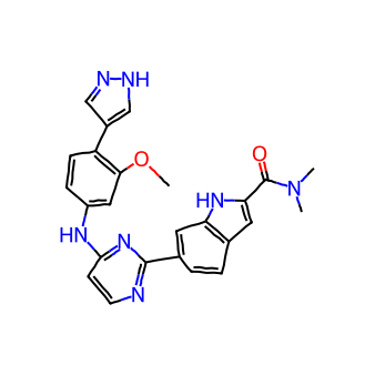 COc1cc(Nc2ccnc(-c3ccc4cc(C(=O)N(C)C)[nH]c4c3)n2)ccc1-c1cn[nH]c1